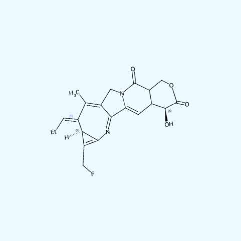 CC/C=C1/C(C)=C2CN3C(=O)C4COC(=O)[C@@H](O)C4C=C3C2=NC2=C(CF)[C@H]21